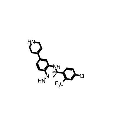 C[C@@H](Nc1cc(C2=CCNCC2)ccc1N=N)c1ccc(Cl)cc1C(F)(F)F